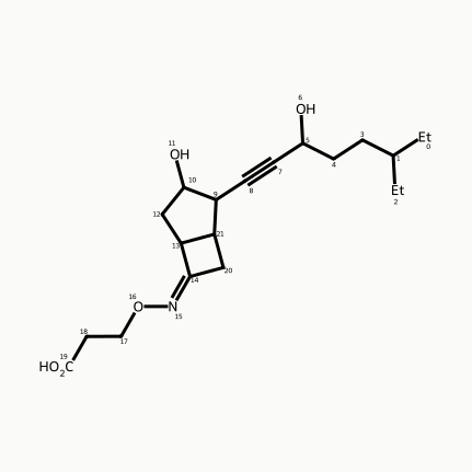 CCC(CC)CCC(O)C#CC1C(O)CC2C(=NOCCC(=O)O)CC21